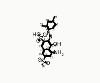 Cc1ccc(/N=N/c2c(S(=O)(=O)O)cc3cc(S(C)(=O)=O)cc(N)c3c2O)c(C)c1